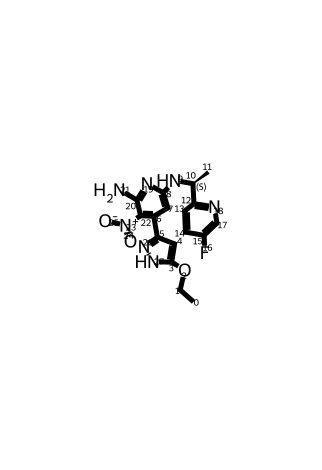 CCOc1cc(-c2cc(N[C@@H](C)c3ccc(F)cn3)nc(N)c2[N+](=O)[O-])n[nH]1